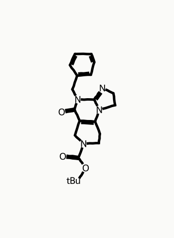 CC(C)(C)OC(=O)N1CCC2=C(C1)C(=O)N(Cc1ccccc1)C1=NCCN12